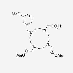 COOCN1CCN(COOC)CCN(Cc2cccc(OC)c2)CCN(CC(=O)O)CC1